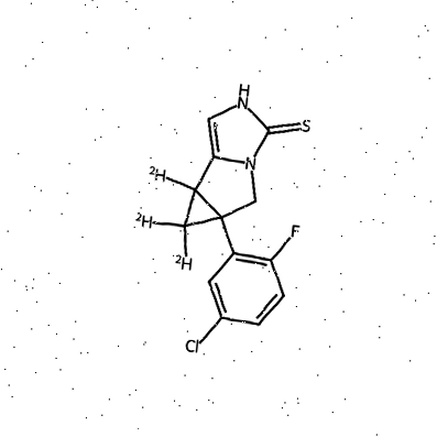 [2H]C1([2H])C2([2H])c3c[nH]c(=S)n3CC12c1cc(Cl)ccc1F